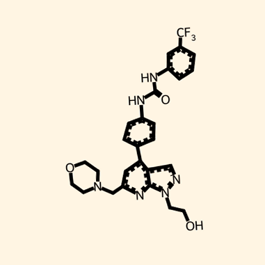 O=C(Nc1ccc(-c2cc(CN3CCOCC3)nc3c2cnn3CCO)cc1)Nc1cccc(C(F)(F)F)c1